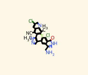 Cc1c(F)c(-c2c(-c3cc(Cl)c4c(=O)[nH]nc(CN)c4c3)cnn2C)c(C#N)c2cc(Cl)cnc12